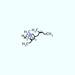 C=C(CC)CC(C/C(C)=C\CC)C[N+](C)(C)C